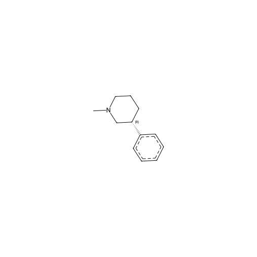 CN1CCC[C@H](c2ccccc2)C1